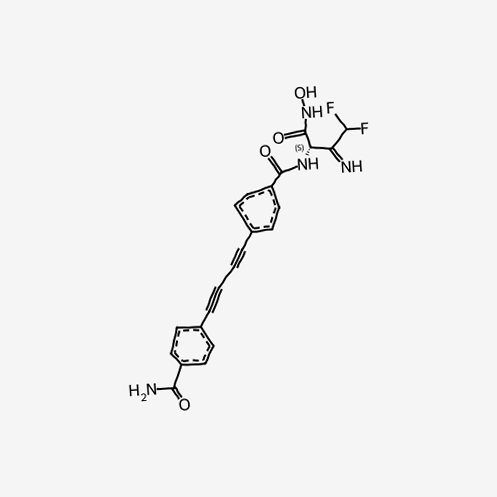 N=C(C(F)F)[C@H](NC(=O)c1ccc(C#CC#Cc2ccc(C(N)=O)cc2)cc1)C(=O)NO